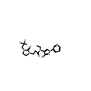 CCN(C(=O)CCN1CCN(CC(F)(F)F)C1=O)c1cn(-c2cccnc2)nc1Cl